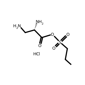 CCCS(=O)(=O)OC(=O)[C@@H](N)CN.Cl